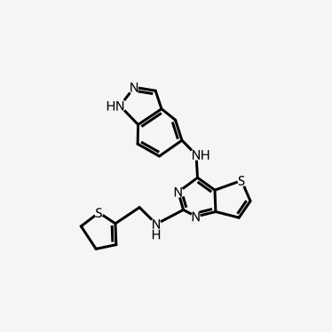 C1=C(CNc2nc(Nc3ccc4[nH]ncc4c3)c3sccc3n2)SCC1